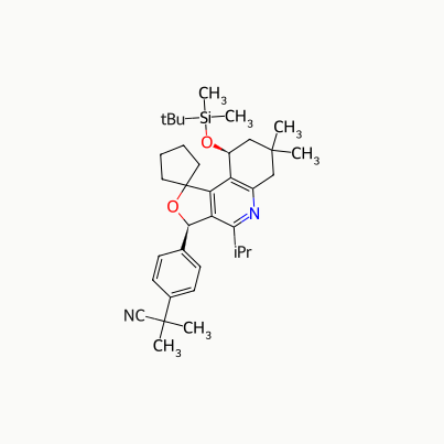 CC(C)c1nc2c(c3c1[C@@H](c1ccc(C(C)(C)C#N)cc1)OC31CCCC1)[C@@H](O[Si](C)(C)C(C)(C)C)CC(C)(C)C2